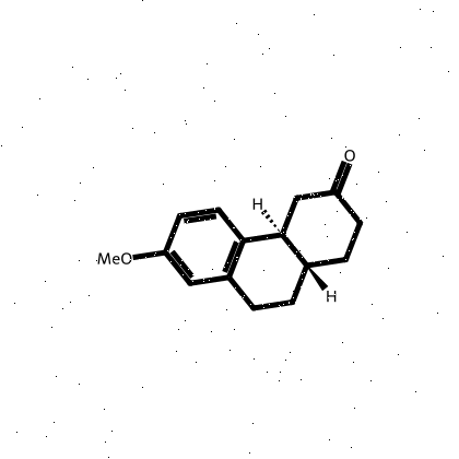 COc1ccc2c(c1)CC[C@H]1CCC(=O)C[C@H]21